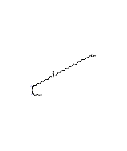 CCCCC/C=C\C/C=C\CCCCCCCCOC(=O)CCCCCCCCCCCCCCCCCCCCCCCCCCC